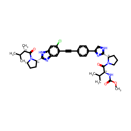 COC(=O)N[C@H](C(=O)N1CCC[C@H]1c1nc(-c2ccc(C#Cc3cc4nc([C@@H]5CCCN5C(=O)[C@@H](C)C(C)C)[nH]c4cc3Cl)cc2)c[nH]1)C(C)C